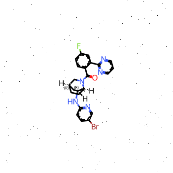 O=C(c1ccc(F)cc1-c1ncccn1)N1C[C@@H]2CC[C@H]1[C@H](Nc1ccc(Br)cn1)C2